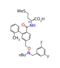 CCCCN(Cc1cc(F)cc(F)c1)OCc1ccc(C(=O)N[C@@H](CCSC)C(=O)O)c(-c2ccccc2C)c1